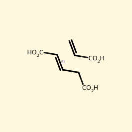 C=CC(=O)O.O=C(O)/C=C/CC(=O)O